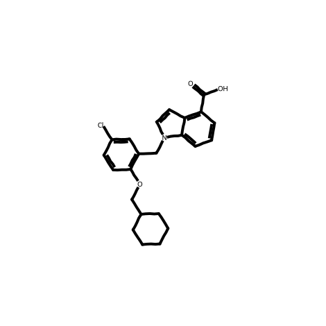 O=C(O)c1cccc2c1ccn2Cc1cc(Cl)ccc1OCC1CCCCC1